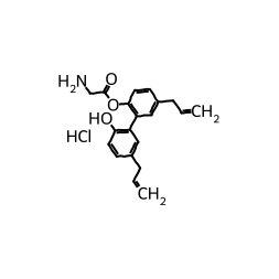 C=CCc1ccc(O)c(-c2cc(CC=C)ccc2OC(=O)CN)c1.Cl